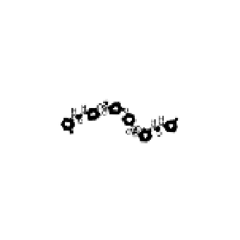 Cc1cccc(NC(=O)Nc2cccc(OS(=O)(=O)c3ccc(Oc4ccc(S(=O)(=O)Oc5cccc(NC(=O)Nc6cccc(C)c6)c5)cc4)cc3)c2)c1